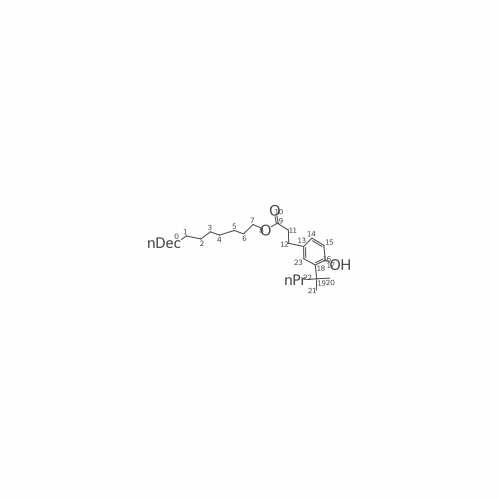 CCCCCCCCCCCCCCCCCOC(=O)CCc1ccc(O)c(C(C)(C)CCC)c1